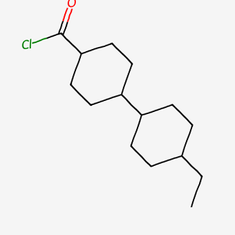 CCC1CCC(C2CCC(C(=O)Cl)CC2)CC1